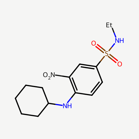 CCNS(=O)(=O)c1ccc(NC2CCCCC2)c([N+](=O)[O-])c1